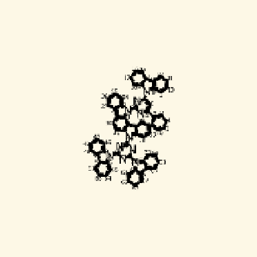 c1ccc(-c2cc(-n3c4ccccc4c4ccccc43)nc(-n3c4ccccc4c4ccc5c(c6ccccc6n5-c5nc(-n6c7ccccc7c7ccccc76)nc(-n6c7ccccc7c7ccccc76)n5)c43)n2)cc1